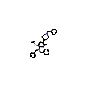 Cc1cc(N(Cc2ccccc2)Cc2ccccc2)c(OC(C)C)cc1C1=CCN(Cc2ccccc2)CC1